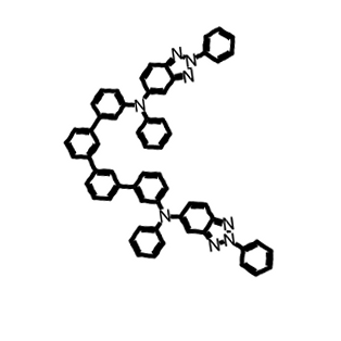 c1ccc(N(c2cccc(-c3cccc(-c4cccc(-c5cccc(N(c6ccccc6)c6ccc7nn(-c8ccccc8)nc7c6)c5)c4)c3)c2)c2ccc3nn(-c4ccccc4)nc3c2)cc1